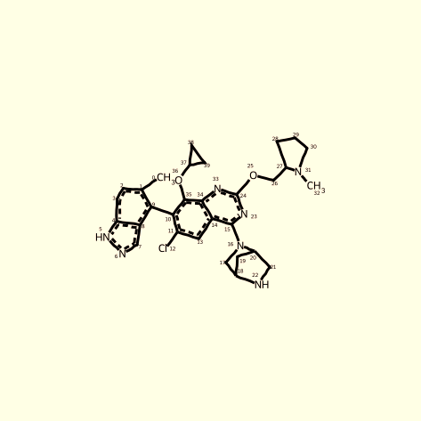 Cc1ccc2[nH]ncc2c1-c1c(Cl)cc2c(N3CC4CC3CN4)nc(OCC3CCCN3C)nc2c1OC1CC1